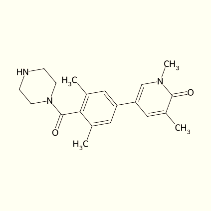 Cc1cc(-c2cc(C)c(=O)n(C)c2)cc(C)c1C(=O)N1CCNCC1